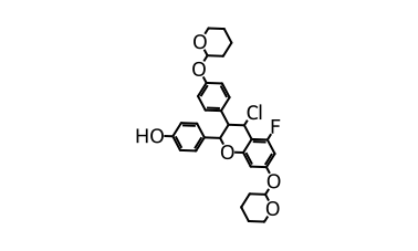 Oc1ccc(C2Oc3cc(OC4CCCCO4)cc(F)c3C(Cl)C2c2ccc(OC3CCCCO3)cc2)cc1